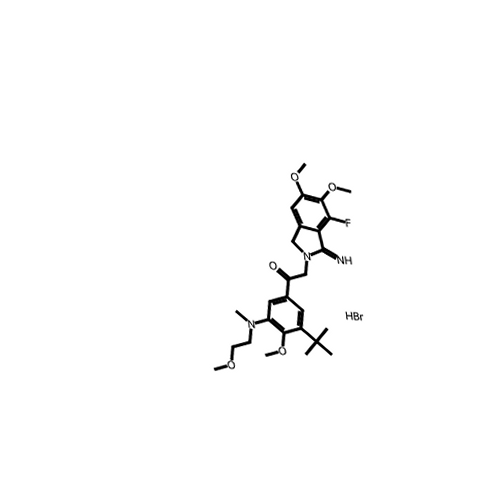 Br.COCCN(C)c1cc(C(=O)CN2Cc3cc(OC)c(OC)c(F)c3C2=N)cc(C(C)(C)C)c1OC